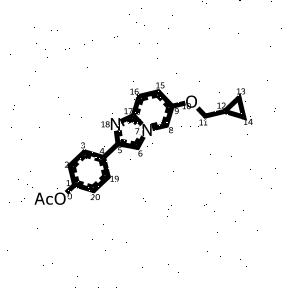 CC(=O)Oc1ccc(-c2cn3cc(OCC4CC4)ccc3n2)cc1